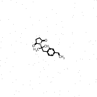 C=Cc1ccc(CC(C)(C)N2C(=O)CCC2=O)cc1